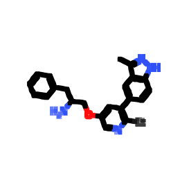 CCc1ncc(OC[C@@H](N)Cc2ccccc2)cc1-c1ccc2[nH]nc(C)c2c1